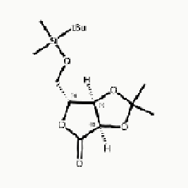 CC1(C)O[C@@H]2[C@@H](CO[Si](C)(C)C(C)(C)C)OC(=O)[C@@H]2O1